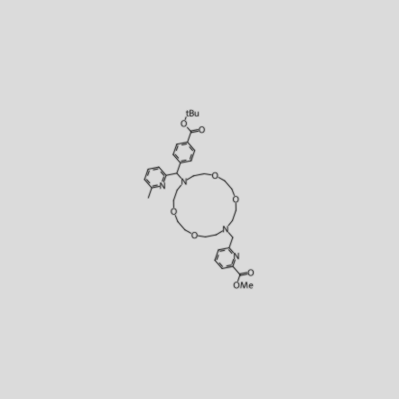 COC(=O)c1cccc(CN2CCOCCOCCN(C(c3ccc(C(=O)OC(C)(C)C)cc3)c3cccc(C)n3)CCOCCOCC2)n1